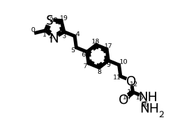 Cc1nc(CCc2ccc(CCOC(=O)NN)cc2)cs1